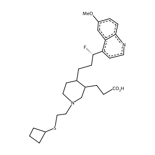 COc1ccc2nccc([C@@H](F)CCC3CCN(CCSC4CCC4)CC3CCC(=O)O)c2c1